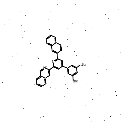 CC(C)(C)c1cc(-c2cc(-c3ccc4ccccc4c3)nc(-c3cc4ccccc4cn3)c2)cc(C(C)(C)C)c1